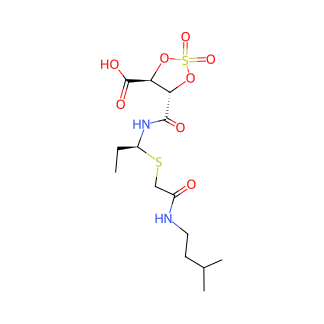 CC[C@@H](NC(=O)[C@H]1OS(=O)(=O)O[C@@H]1C(=O)O)SCC(=O)NCCC(C)C